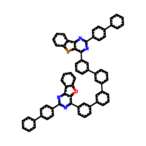 c1ccc(-c2ccc(-c3nc(-c4cccc(-c5cccc(-c6cccc(-c7cccc(-c8nc(-c9ccc(-c%10ccccc%10)cc9)nc9c8sc8ccccc89)c7)c6)c5)c4)c4oc5ccccc5c4n3)cc2)cc1